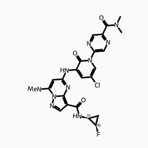 CNc1cc(Nc2cc(Cl)cn(-c3cnc(C(=O)N(C)C)cn3)c2=O)nc2c(C(=O)N[C@H]3C[C@H]3F)cnn12